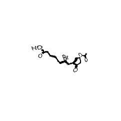 CC(=O)OC1C=C(CC(Br)=CCCCC(=O)O)C(=O)C1